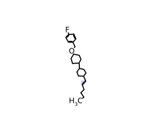 CCCC/C=C/C1CCC(C2CCC(OCc3ccc(F)cc3)CC2)CC1